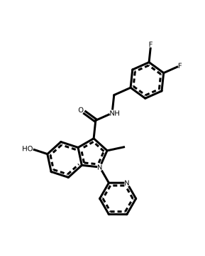 Cc1c(C(=O)NCc2ccc(F)c(F)c2)c2cc(O)ccc2n1-c1ccccn1